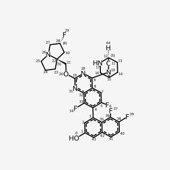 Oc1cc(-c2c(F)cc3c(N4C[C@@H]5CCC4CN5)nc(OC[C@@]45CCCN4C[C@H](F)C5)nc3c2F)c2c(F)c(F)ccc2c1